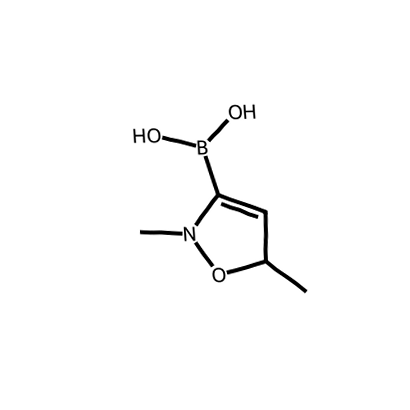 CC1C=C(B(O)O)N(C)O1